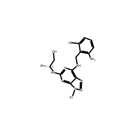 CCn1nnc2c(NCc3c(N)cccc3Cl)nc(N[C@@H](CO)C(C)C)nc21